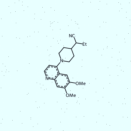 CCC(C#N)C1CCN(c2ccnc3cc(OC)c(OC)cc23)CC1